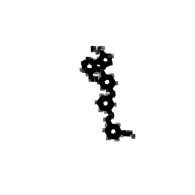 CC1OCc2c1c1ncnc(N)c1n2-c1ccc(Oc2cccc(OCc3cccc(N)c3)c2)cc1